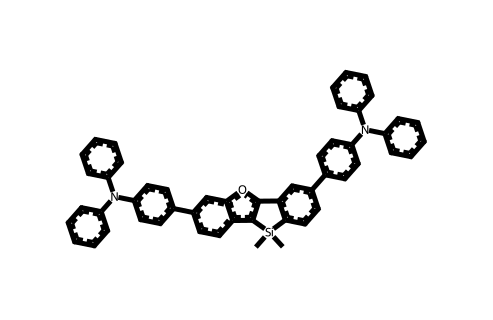 C[Si]1(C)c2ccc(-c3ccc(N(c4ccccc4)c4ccccc4)cc3)cc2-c2oc3cc(-c4ccc(N(c5ccccc5)c5ccccc5)cc4)ccc3c21